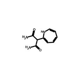 NC(=O)C(C(N)=O)C1=CC=CC=CN1